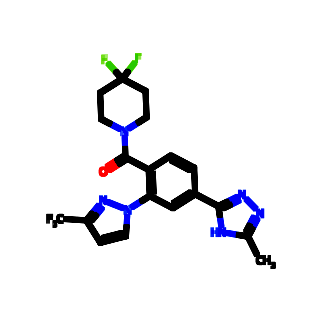 Cc1nnc(-c2ccc(C(=O)N3CCC(F)(F)CC3)c(-n3ccc(C(F)(F)F)n3)c2)[nH]1